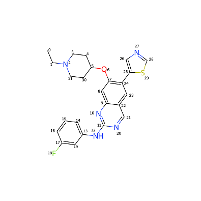 CCN1CCC(Oc2cc3nc(Nc4cccc(F)c4)ncc3cc2-c2cncs2)CC1